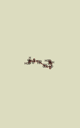 Cc1c(-c2ccc(OCC(=O)NCCCCNC(=O)COc3ccc(-c4c(C)c(C(=O)c5ccc6[nH]c(=O)n(CC(=O)O)c(=O)c6c5)n5ccccc45)cc3)cc2)c2ccccn2c1C(=O)c1ccc2[nH]c(=O)n(CC(=O)O)c(=O)c2c1